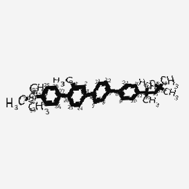 Cc1cc(-c2ccc(-c3ccc(C(C)(C)CC(C)(C)C)cc3)cc2)ccc1-c1ccc([Si](C)(C)C)cc1